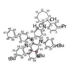 CC(C)c1ccc2c(c1)C1(C)CCCCCCC1(C)N2c1ccc2c(c1)N(c1ccc(C(C)(C)C)cc1)c1cc(C(C)(C)C)cc3c1B2c1ccc(-c2ccccc2)cc1N3c1ccc(C(C)(C)C)cc1-c1ccccc1